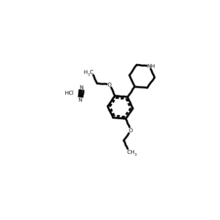 CCOc1ccc(OCC)c(C2CCNCC2)c1.Cl.N#N